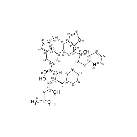 CC(C)C[C@H](O)[C@H](O)[C@H](CC1CCCCC1)NC(=O)[C@@H](CC(=O)N(CC(=O)N(C)CCc1ccccn1)Cc1ccoc1)Cc1csc(N)n1